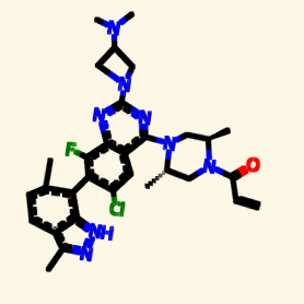 C=CC(=O)N1C[C@H](C)N(c2nc(N3CC(N(C)C)C3)nc3c(F)c(-c4c(C)ccc5c(C)n[nH]c45)c(Cl)cc23)C[C@H]1C